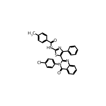 Cc1ccc(C(=O)Nc2nc(-c3ccccc3)c(-c3nc4ccccc4c(=O)n3-c3ccc(Cl)cc3)s2)cc1